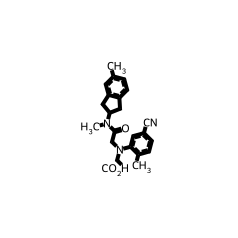 Cc1ccc2c(c1)CC(N(C)C(=O)CN(CC(=O)O)c1cc(C#N)ccc1C)C2